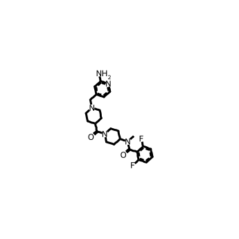 CN(C(=O)c1c(F)cccc1F)C1CCN(C(=O)C2CCN(Cc3ccnc(N)c3)CC2)CC1